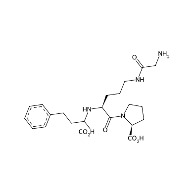 NCC(=O)NCCC[C@H](NC(CCc1ccccc1)C(=O)O)C(=O)N1CCC[C@H]1C(=O)O